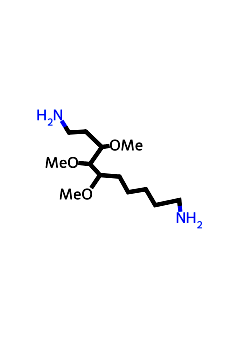 COC(CCN)C(OC)C(CCCCCN)OC